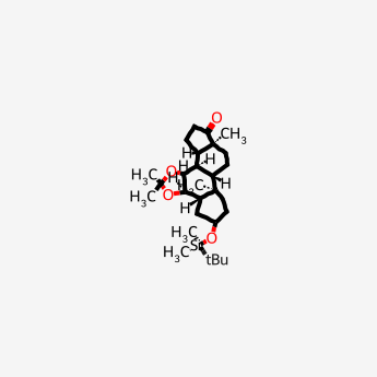 CC1(C)O[C@H]2[C@H](O1)[C@H]1CC(O[Si](C)(C)C(C)(C)C)CC[C@]1(C)[C@H]1CC[C@]3(C)C(=O)CC[C@H]3[C@H]21